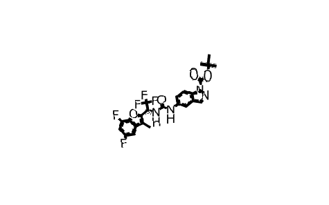 Cc1c([C@H](NC(=O)Nc2ccc3c(cnn3C(=O)OC(C)(C)C)c2)C(F)(F)F)oc2c(F)cc(F)cc12